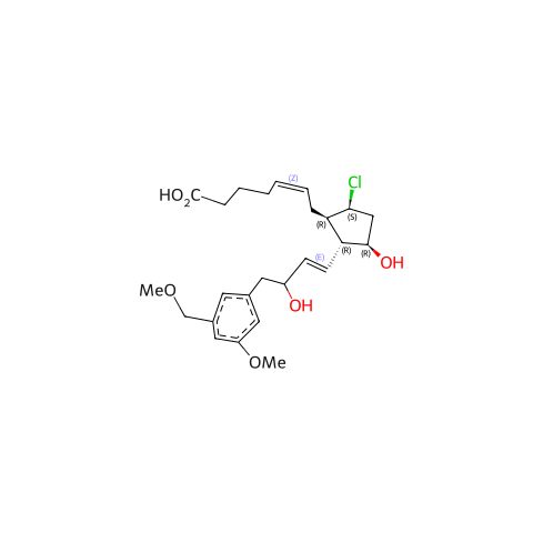 COCc1cc(CC(O)/C=C/[C@@H]2[C@@H](C/C=C\CCCC(=O)O)[C@@H](Cl)C[C@H]2O)cc(OC)c1